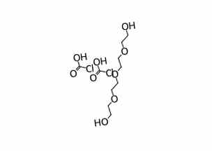 O=C(O)Cl.O=C(O)Cl.OCCOCCOCCOCCO